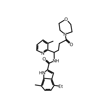 CCc1ccc(C)c2[nH]c(C(=O)NC(CCC(=O)N3CCOCC3)c3ncccc3C)cc12